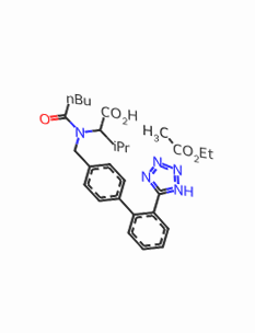 CCCCC(=O)N(Cc1ccc(-c2ccccc2-c2nnn[nH]2)cc1)C(C(=O)O)C(C)C.CCOC(C)=O